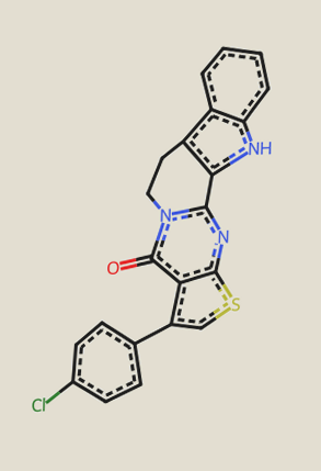 O=c1c2c(-c3ccc(Cl)cc3)csc2nc2n1CCc1c-2[nH]c2ccccc12